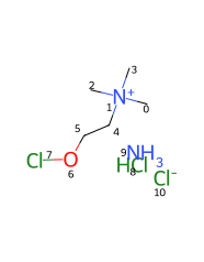 C[N+](C)(C)CCOCl.Cl.N.[Cl-]